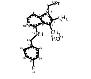 Cc1c(C)n(CC(C)C)c2ccnc(NCc3ccc(F)cc3)c12.Cl